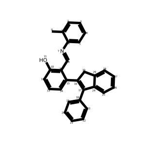 Cc1ccccc1N=Cc1c(O)cccc1C1=C(c2ccccc2)c2ccccc2[C]1